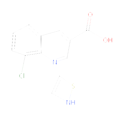 O=C(O)c1cnc2c(Cl)cccc2c1.c1cs[nH]1